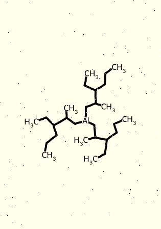 CCCC(CC)C(C)[CH2][Al]([CH2]C(C)C(CC)CCC)[CH2]C(C)C(CC)CCC